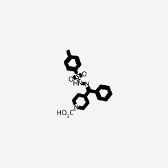 Cc1ccc(S(=O)(=O)NN=C(c2ccccc2)C2CCN(C(=O)O)CC2)cc1